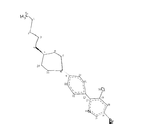 CCCCC[C@H]1CC[C@H](c2ccc(-c3ncc(Br)cc3Cl)cc2)CC1